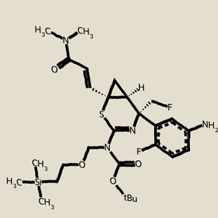 CN(C)C(=O)/C=C/[C@]12C[C@H]1[C@@](CF)(c1cc(N)ccc1F)N=C(N(COCC[Si](C)(C)C)C(=O)OC(C)(C)C)S2